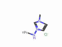 CCCN[n+]1ccn(C)c1.[Cl-]